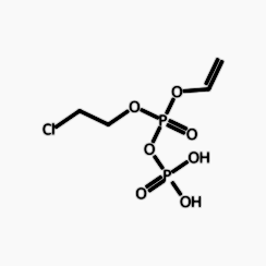 C=COP(=O)(OCCCl)OP(=O)(O)O